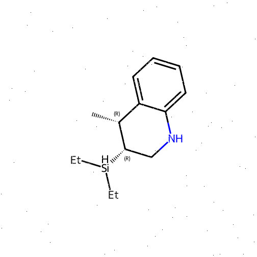 CC[SiH](CC)[C@H]1CNc2ccccc2[C@H]1C